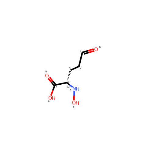 O=CCC[C@H](NO)C(=O)O